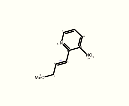 COC/C=C/c1ncccc1[N+](=O)[O-]